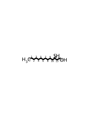 CCCCCCCCCCCC(S)CCO